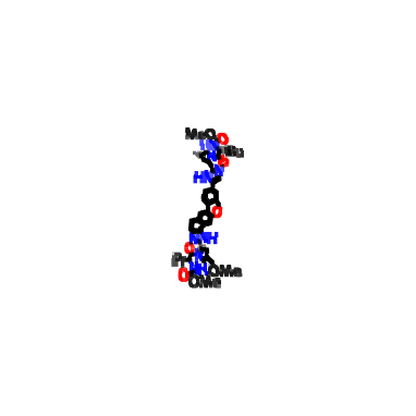 CC[C@H](C)[C@H](NC(=O)OC)C(=O)N1C[C@@H](C)CC1c1ncc(-c2ccc3c(c2)COc2cc4c(ccc5nc([C@@H]6CC(COC)CN6C(=O)C(NC(=O)OC)C(C)C)[nH]c54)cc2-3)[nH]1